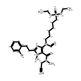 C#CCN(C)C(=O)c1c(N(C=O)CCCCCCP(=O)(OCC)OCC)nc(CCc2ccccc2Br)n1C